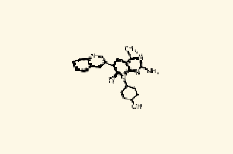 Cc1nc(N)nc2c1cc(-c1cnc3ccccc3c1)c(=O)n2C1CCC(O)CC1